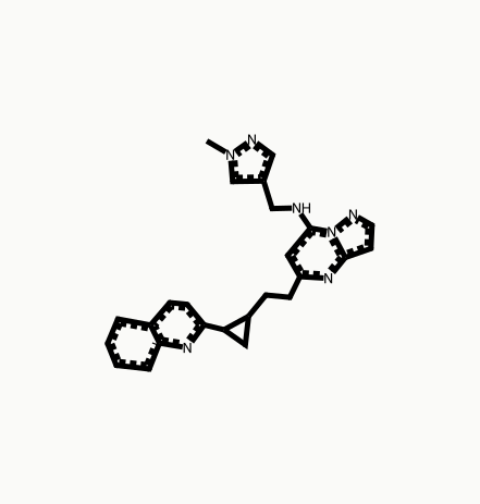 Cn1cc(CNc2cc(CCC3CC3c3ccc4ccccc4n3)nc3ccnn23)cn1